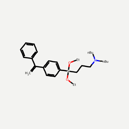 C=C(c1ccccc1)c1ccc([Si](CCCN(CCCC)CCCC)(OCC)OCC)cc1